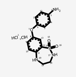 Cl.Cl.Nc1ccc(Oc2ccc3c(c2)S(=O)(=O)NCCN3)cc1